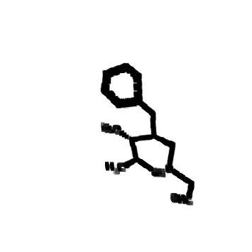 CC(C)CO[C@H]([C@H](COCC=O)Cc1ccccc1)[C@H](C)O